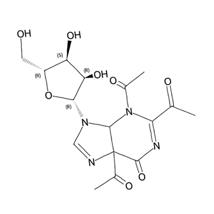 CC(=O)C1=NC(=O)C2(C(C)=O)N=CN([C@@H]3O[C@H](CO)[C@@H](O)[C@H]3O)C2N1C(C)=O